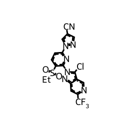 CCS(=O)(=O)c1ccc(-n2cc(C#N)cn2)nc1-n1nc2cc(C(F)(F)F)ncc2c1Cl